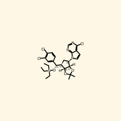 CC[Si](CC)(CC)O[C@H](c1ccc(Cl)c(Cl)c1)[C@H]1C[C@@H](n2ccc3c(Cl)ncnc32)[C@@H]2OC(C)(C)O[C@H]12